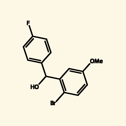 COc1ccc(Br)c(C(O)c2ccc(F)cc2)c1